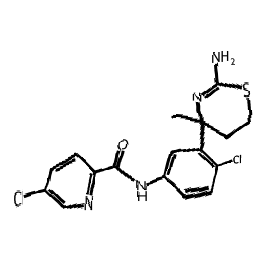 CC1(c2cc(NC(=O)c3ccc(Cl)cn3)ccc2Cl)CCSC(N)=N1